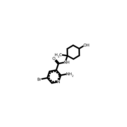 CC1(NC(=O)c2cc(Br)cnc2N)CCC(O)CC1